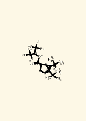 CC(C)(C)C1C2CC(C(=O)OC(C(F)(F)F)C(F)(F)F)C(C2)C1C(C)(C)C